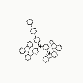 c1ccc(-c2ccc(-c3ccc(N(c4ccc5c(c4)-n4c6ccccc6c6cccc(c64)C54c5ccccc5-c5ccccc54)c4ccc5c(c4)C4(c6ccccc6-c6ccccc64)c4ccccc4-5)cc3)cc2)cc1